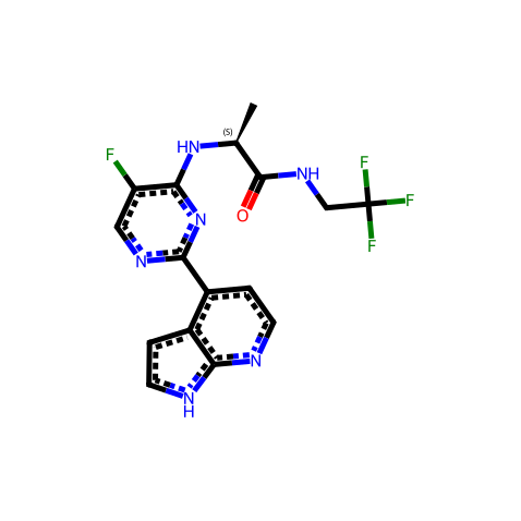 C[C@H](Nc1nc(-c2ccnc3[nH]ccc23)ncc1F)C(=O)NCC(F)(F)F